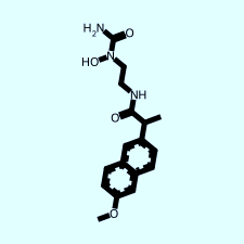 COc1ccc2cc(C(C)C(=O)NCCN(O)C(N)=O)ccc2c1